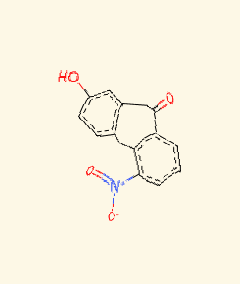 O=C1c2cc(O)ccc2-c2c1cccc2[N+](=O)[O-]